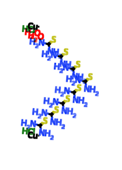 Cl.Cl.NC(N)=S.NC(N)=S.NC(N)=S.NC(N)=S.NC(N)=S.NC(N)=S.NC(N)=S.NC(N)=S.O.O.[Cu].[Cu]